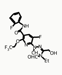 CCN(C=O)/C(CO)=N\N(C)c1nc(OCC(F)(F)F)c(C(=O)Nc2ccccc2F)cc1F